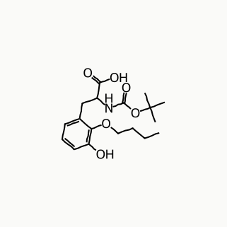 CCCCOc1c(O)cccc1CC(NC(=O)OC(C)(C)C)C(=O)O